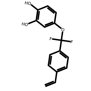 C=Cc1ccc(C(F)(F)Oc2ccc(O)c(O)c2)cc1